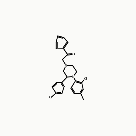 Cc1ccc(N2CCN(CC(=O)c3ccccc3)CC2c2ccc(Cl)cc2)c(Cl)c1